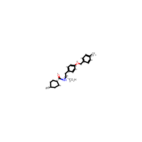 CC(C)[C@H]1CC[C@H](C(=O)N[C@H](Cc2ccc(OCc3ccc(C(F)(F)F)cc3)cc2)C(=O)O)CC1